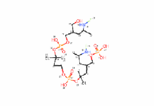 CCC(C)(CC(COP(=O)(O)O)CC(C)NF)OP(=O)(O)OCCC(CC)(CC)OP(=O)(O)OCC(CO)CC(C)NF